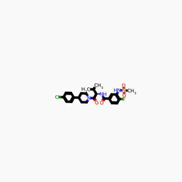 CC(C)[C@@H](NC(=O)c1ccc(F)c(NS(C)(=O)=O)c1)C(=O)N1CCC(c2ccc(Cl)cc2)CC1